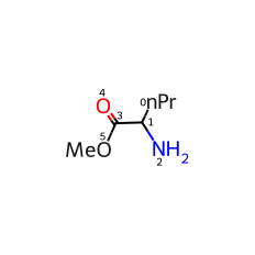 CCCC(N)C(=O)OC